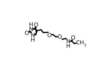 CCC(=O)NCCOCCOCCCc1c[nH]c(=O)[nH]c1=O